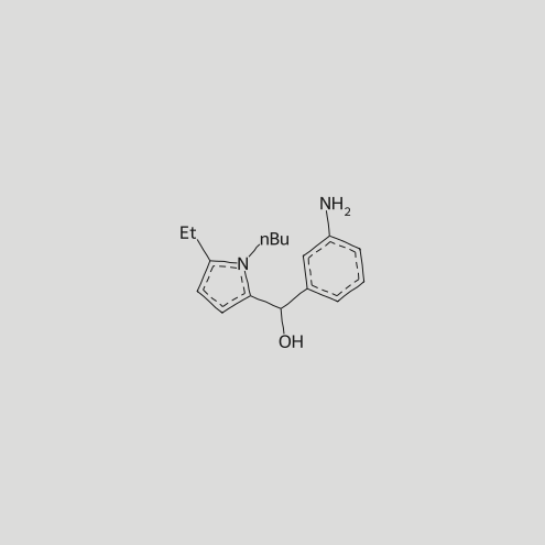 CCCCn1c(CC)ccc1C(O)c1cccc(N)c1